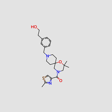 Cc1nc(C(=O)N2CC(C)(C)OC3(CCN(Cc4cccc(CCO)c4)CC3)C2)cs1